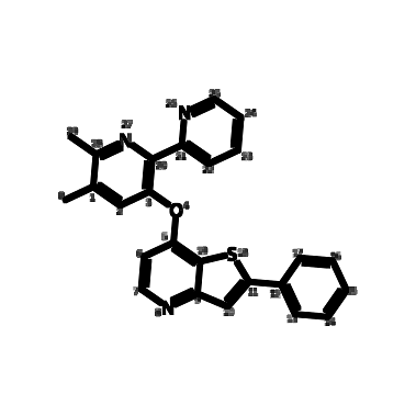 Cc1cc(Oc2ccnc3cc(-c4ccccc4)sc23)c(-c2ccccn2)nc1C